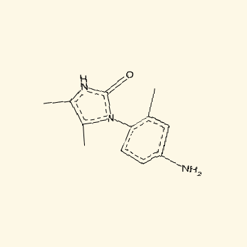 Cc1cc(N)ccc1-n1c(C)c(C)[nH]c1=O